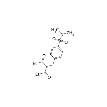 CCC(=O)C(Cc1ccc(S(=O)(=O)N(C)C)cc1)C(=O)CC